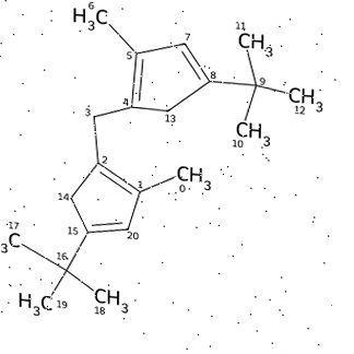 CC1=C(CC2=C(C)C=C(C(C)(C)C)C2)CC(C(C)(C)C)=C1